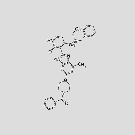 Cc1cc(N2CCN(C(=O)c3ccccc3)CC2)cc2[nH]c(-c3c(N[C@H](CO)Cc4ccccc4)cc[nH]c3=O)nc12